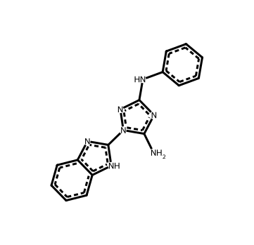 Nc1nc(Nc2ccccc2)nn1-c1nc2ccccc2[nH]1